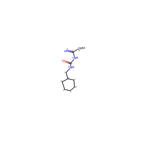 COC(=N)NC(=O)NCC1CCCCC1